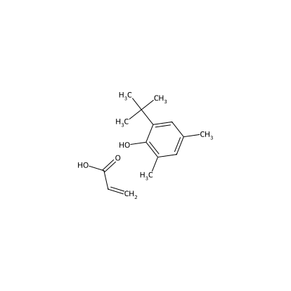 C=CC(=O)O.Cc1cc(C)c(O)c(C(C)(C)C)c1